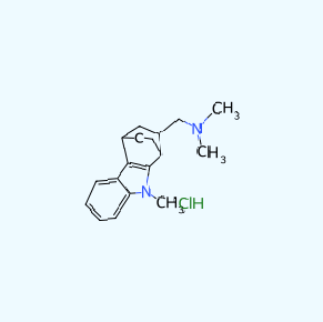 CN(C)CC1CC2CCC1c1c2c2ccccc2n1C.Cl